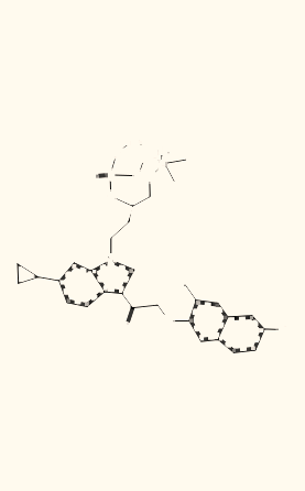 CC(C)(C)OP(=O)(O[C@H](CCn1cc(C(=O)COc2cc3ccc(Cl)cc3cc2I)c2ccc(C3CC3)cc21)CO[Si](C)(C)C(C)(C)C)OC(C)(C)C